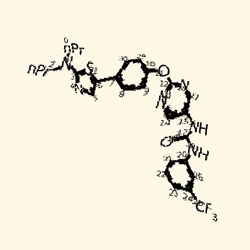 CCCN(CCC)c1ncc(-c2ccc(Oc3ncc(NC(=O)Nc4cccc(C(F)(F)F)c4)cn3)cc2)s1